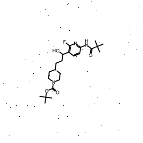 CC(C)(C)OC(=O)N1CCC(CCC(O)c2ccc(NC(=O)C(C)(C)C)nc2F)CC1